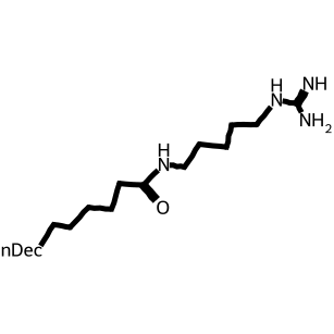 CCCCCCCCCCCCCCCC(=O)NCCCCCNC(=N)N